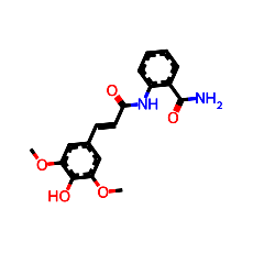 COc1cc(C=CC(=O)Nc2ccccc2C(N)=O)cc(OC)c1O